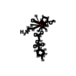 CO[C@@H]1CC[C@]23CC[C@@H](C)[C@](C)([C@H]12)[C@H](OC(=O)COS(=O)(=O)c1ccc(C)cc1)C[C@](C)(CCN)C(=O)[C@@H]3C